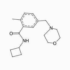 Cc1ccc(CN2CCOCC2)cc1C(=O)NC1CCC1